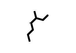 CCC[CH]C(C)CC